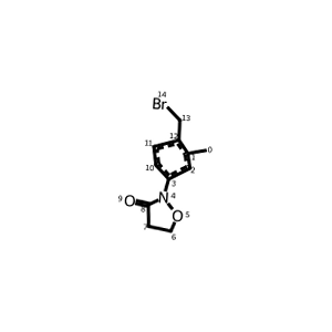 Cc1cc(N2OCCC2=O)ccc1CBr